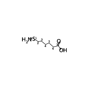 NSCCCCCC(=O)O